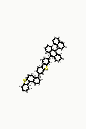 c1ccc2c(-c3c4ccccc4c(-c4ccc5c(c4)sc4cc(-c6cccc7c6ccc6sc8ccccc8c67)ccc45)c4ccccc34)cccc2c1